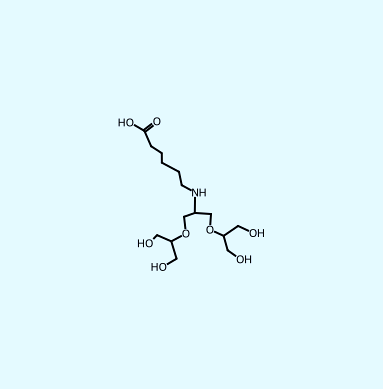 O=C(O)CCCCCNC(COC(CO)CO)COC(CO)CO